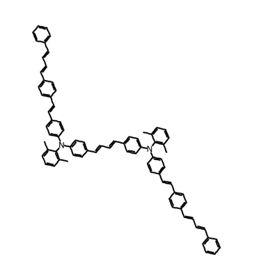 Cc1cccc(C)c1N(c1ccc(/C=C/C=C/c2ccc(N(c3ccc(/C=C/c4ccc(/C=C/C=C/c5ccccc5)cc4)cc3)c3c(C)cccc3C)cc2)cc1)c1ccc(/C=C/c2ccc(/C=C/C=C/c3ccccc3)cc2)cc1